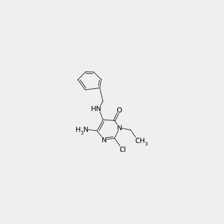 CCn1c(Cl)nc(N)c(NCc2ccccc2)c1=O